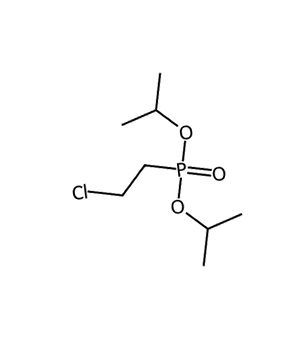 CC(C)OP(=O)(CCCl)OC(C)C